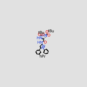 CCCc1cccc(-c2cc(NC(=O)[C@@H](CNC(=O)OC(C)(C)C)NC(=O)OC(C)(C)C)nn2-c2ccccc2)c1